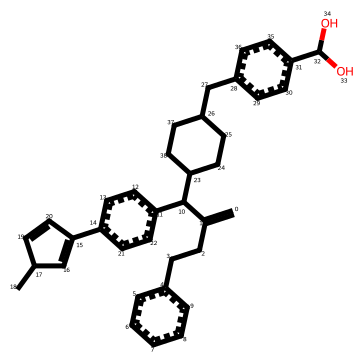 C=C(CCc1ccccc1)C(c1ccc(C2=CC(C)C=C2)cc1)C1CCC(Cc2ccc(C(O)O)cc2)CC1